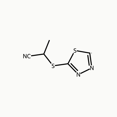 CC(C#N)Sc1nn[c]s1